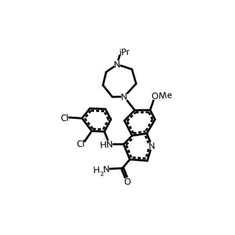 COc1cc2ncc(C(N)=O)c(Nc3cccc(Cl)c3Cl)c2cc1N1CCCN(C(C)C)CC1